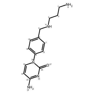 NCCCNCc1ccc(-n2ccc(N)nc2=O)cc1